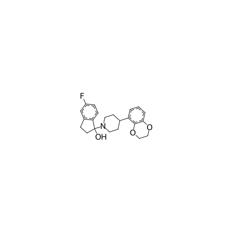 OC1(N2CCC(c3cccc4c3OCCO4)CC2)CCc2cc(F)ccc21